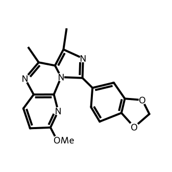 COc1ccc2nc(C)c3c(C)nc(-c4ccc5c(c4)OCO5)n3c2n1